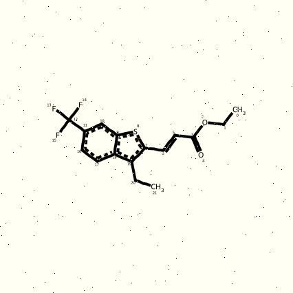 CCOC(=O)/C=C/c1sc2cc(C(F)(F)F)ccc2c1CC